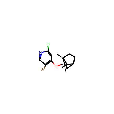 CC1(C)C2CC[C@@]1(C)[C@H](Oc1cc(Cl)ncc1Br)C2